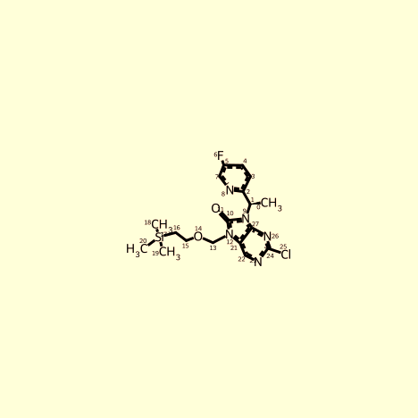 C[C@H](c1ccc(F)cn1)n1c(=O)n(COCC[Si](C)(C)C)c2cnc(Cl)nc21